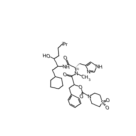 CC(C)CCC(O)C(CC1CCCCC1)NC(=O)[C@H](Cc1c[nH]cn1)N(C)C(=O)C(Cc1ccccc1)OC(=O)N1CCS(=O)(=O)CC1